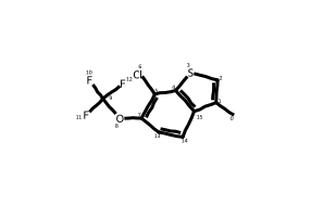 Cc1csc2c(Cl)c(OC(F)(F)F)ccc12